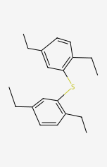 CCc1ccc(CC)c(Sc2cc(CC)ccc2CC)c1